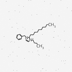 CCCCCCCCCCc1n(Cc2ccccc2)cc[n+]1CCCC